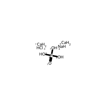 Cl.O=P(O)(O)O.[CaH2].[CaH2].[NaH]